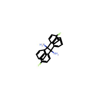 NC(c1ccccc1)(c1ccc(F)cc1)C(N)(c1ccccc1)c1ccc(F)cc1